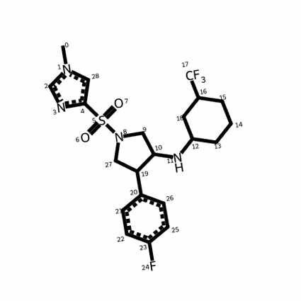 Cn1cnc(S(=O)(=O)N2CC(NC3CCCC(C(F)(F)F)C3)C(c3ccc(F)cc3)C2)c1